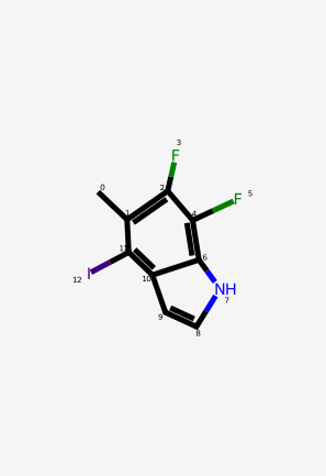 Cc1c(F)c(F)c2[nH]ccc2c1I